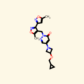 Cc1cc(-c2noc(C)c2Cn2ncc(N3CC(OCC4CC4)C3)cc2=O)no1